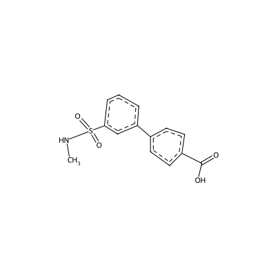 CNS(=O)(=O)c1cccc(-c2ccc(C(=O)O)cc2)c1